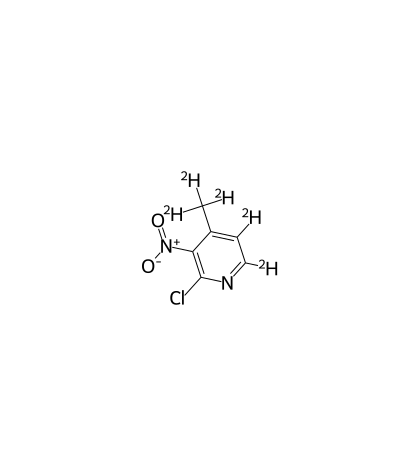 [2H]c1nc(Cl)c([N+](=O)[O-])c(C([2H])([2H])[2H])c1[2H]